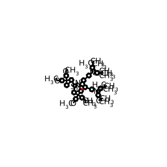 COc1ccc(C2(c3ccc(OC)cc3)c3ccccc3-c3c(-c4sc(-c5cccc6c5-c5ccccc5C6(c5ccc(OC)cc5)c5ccc(OC)cc5)c5nc6c7ccc(-c8ccc(-n9c%10ccc(C(C)(C)C)cc%10c%10cc(C(C)(C)C)ccc%109)cc8)cc7c7cc(-c8ccc(-n9c%10ccc(C(C)(C)C)cc%10c%10cc(C(C)(C)C)ccc%109)cc8)ccc7c6nc45)cccc32)cc1